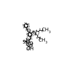 CCCCCN(CCCCC)Cc1cc(/C=C2\SC(=S)N(CC(=O)O)C2=O)ccc1OCc1ccccc1